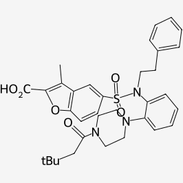 Cc1c(C(=O)O)oc2ccc(S(=O)(=O)N(CCc3ccccc3)c3ccccc3N3CCN(C(=O)CC(C)(C)C)CC3)cc12